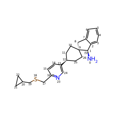 N[C@@H]1c2ccccc2C[C@]12CC[C@H](c1ccc(CSCC3CC3)nc1)CC2